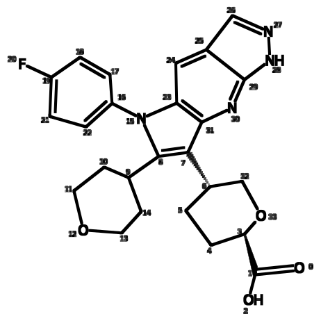 O=C(O)[C@H]1CC[C@H](c2c(C3CCOCC3)n(-c3ccc(F)cc3)c3cc4cn[nH]c4nc23)CO1